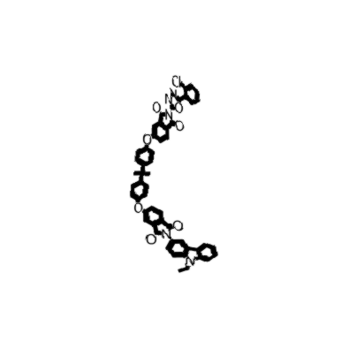 CCn1c2ccccc2c2cc(N3C(=O)c4ccc(Oc5ccc(C(C)(C)c6ccc(Oc7ccc8c(c7)C(=O)N(c7nnc(-c9ccccc9Cl)o7)C8=O)cc6)cc5)cc4C3=O)ccc21